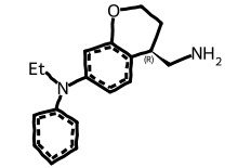 CCN(c1ccccc1)c1ccc2c(c1)OCC[C@H]2CN